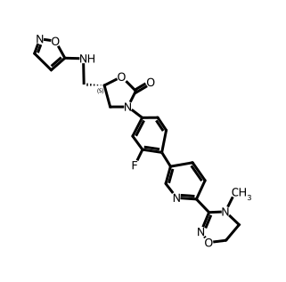 CN1CCON=C1c1ccc(-c2ccc(N3C[C@H](CNc4ccno4)OC3=O)cc2F)cn1